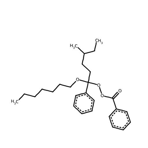 CCCCCCCOC(CCC(C)CC)(OOC(=O)c1ccccc1)c1ccccc1